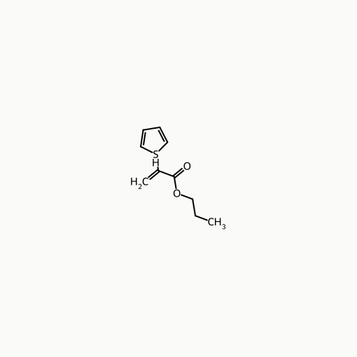 C=C(C(=O)OCCC)[SH]1C=CC=C1